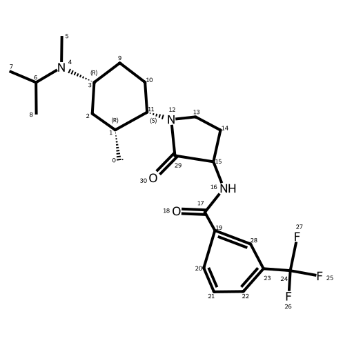 [CH2][C@@H]1C[C@H](N(C)C(C)C)CC[C@@H]1N1CCC(NC(=O)c2cccc(C(F)(F)F)c2)C1=O